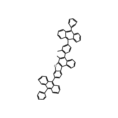 Cc1cc(-c2c3ccccc3c(-c3ccccc3)c3ccccc23)ccc1-c1c(C)c2oc3cc(-c4c5ccccc5c(-c5ccccc5)c5ccccc45)ccc3c2c2ccccc12